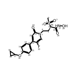 CS(=O)(=O)[C@H](CCn1cc(F)c(-c2ccc(OC3CC3)cc2)cc1=O)C(=O)NO